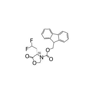 O=C1OCN(C(=O)OCC2c3ccccc3-c3ccccc32)[C@H]1CC(F)F